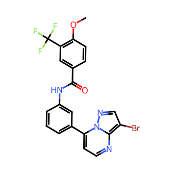 COc1ccc(C(=O)Nc2cccc(-c3ccnc4c(Br)cnn34)c2)cc1C(F)(F)F